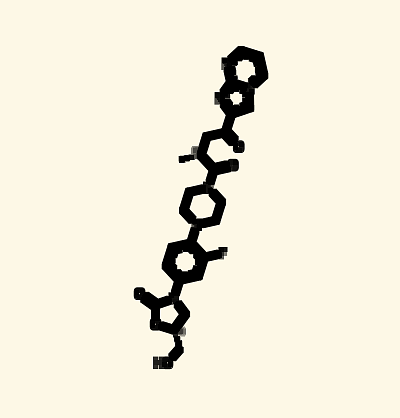 C[C@H](CC(=O)c1cn2cccnc2n1)C(=O)N1CCN(c2ccc(N3C[C@H](CO)OC3=O)cc2F)CC1